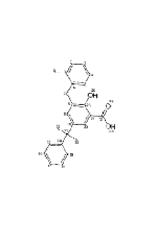 Cc1ccccc1Cc1cc(C(C)(C)c2ccccc2)cc(C(=O)O)c1O